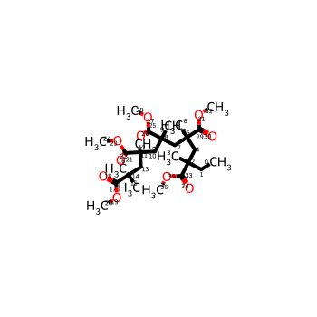 CCC(C)(CC(C)(CC(C)(CC(C)(CC(C)(C)C(=O)OC)C(=O)OC)C(=O)OC)C(=O)OC)C(=O)OC